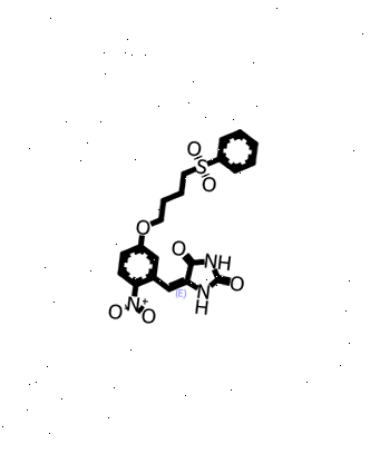 O=C1NC(=O)/C(=C\c2cc(OCCCCS(=O)(=O)c3ccccc3)ccc2[N+](=O)[O-])N1